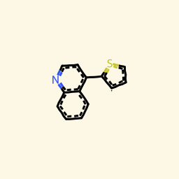 [c]1ccsc1-c1ccnc2ccccc12